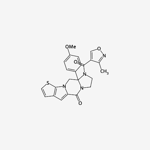 COc1ccc(C23Cn4c(cc5ccsc54)C(=O)N2CCN3C(=O)c2conc2C)cc1